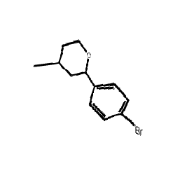 CC1CCOC(c2ccc(Br)cc2)C1